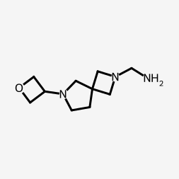 NCN1CC2(CCN(C3COC3)C2)C1